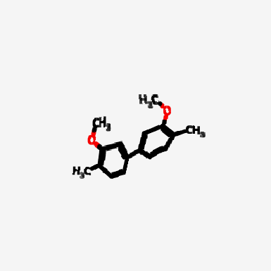 COc1cc(-c2ccc(C)c(OC)c2)ccc1C